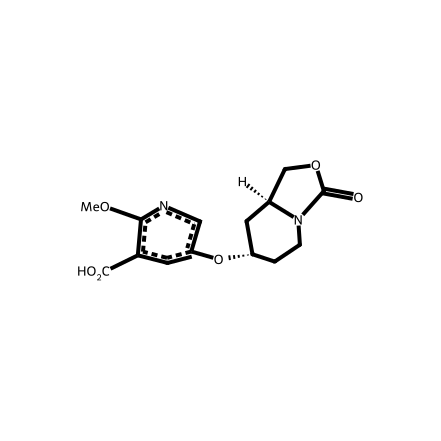 COc1ncc(O[C@H]2CCN3C(=O)OC[C@@H]3C2)cc1C(=O)O